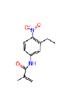 C=C(C)C(=O)Nc1ccc([N+](=O)[O-])c(CC)c1